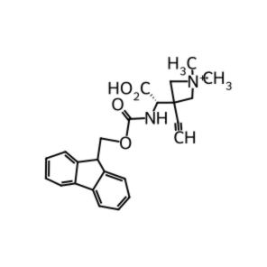 C#CC1([C@H](NC(=O)OCC2c3ccccc3-c3ccccc32)C(=O)O)C[N+](C)(C)C1